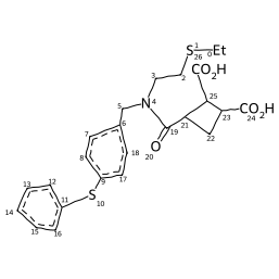 CCSCCN(Cc1ccc(Sc2ccccc2)cc1)C(=O)C1CC(C(=O)O)C1C(=O)O